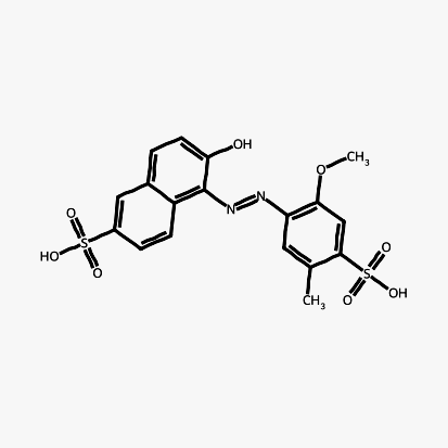 COc1cc(S(=O)(=O)O)c(C)cc1N=Nc1c(O)ccc2cc(S(=O)(=O)O)ccc12